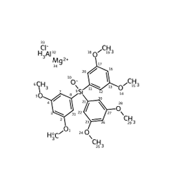 COc1cc(OC)cc([Si]([O-])(c2cc(OC)cc(OC)c2)c2cc(OC)cc(OC)c2)c1.[AlH3].[Cl-].[Mg+2]